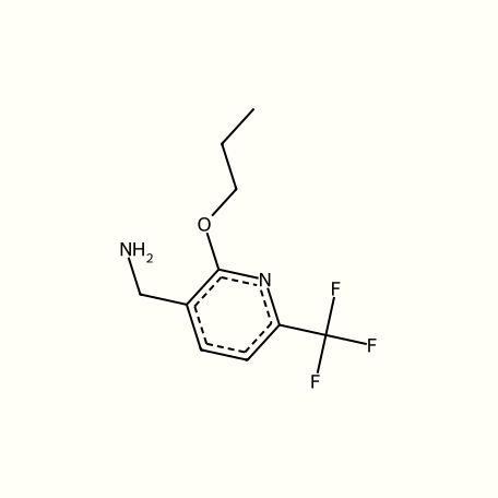 CCCOc1nc(C(F)(F)F)ccc1CN